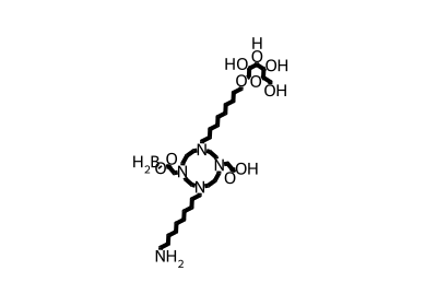 BOC(=O)CN1CCCN(CCCCCCCCCCOC2OC(CO)C(O)C(O)C2O)CCN(CC(=O)O)CCCN(CCCCCCCCCCN)CC1